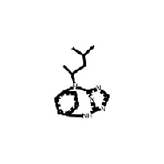 CC(C)CC(C)N1c2ccc(cc2)Nc2ncnc1n2